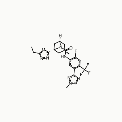 CCc1nnc([C@]23C[C@H](C)C[C@H](C2)N3C(=O)Nc2cc(-c3ncn(C)n3)c(C(F)(F)F)cc2F)o1